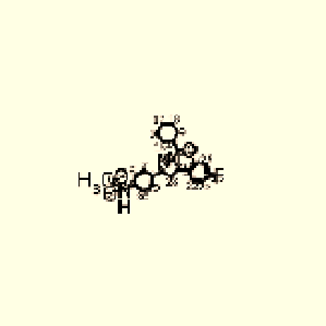 CS(=O)(=O)Nc1ccc(C2=NN(C(=O)C3CCCCC3)C(c3ccc(F)cc3)C2)cc1